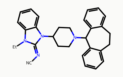 CCn1c(=NC#N)n(C2CCN(C3c4ccccc4CCc4ccccc43)CC2)c2ccccc21